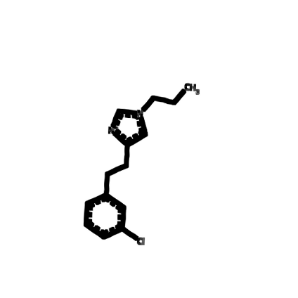 CCCn1cnc(CCc2cccc(Cl)c2)c1